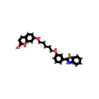 O=c1ccc2ccc(OCCCCCOc3cccc(-c4nc5ccccc5s4)c3)cc2o1